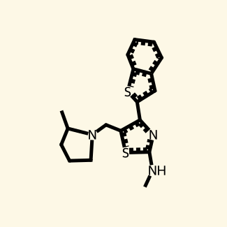 CNc1nc(-c2cc3ccccc3s2)c(CN2CCCC2C)s1